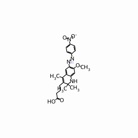 COc1cc2c(cc1/N=N/c1ccc([N+](=O)[O-])cc1)C(C)=C(CCCC(=O)O)C(C)(C)N2